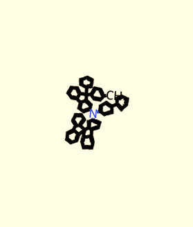 Cc1ccc(C2(c3ccccc3)c3ccccc3-c3ccc(N(c4ccc(-c5ccccc5)cc4)c4ccc5c(c4)C4(c6ccccc6-c6ccccc64)c4ccccc4-5)cc32)cc1